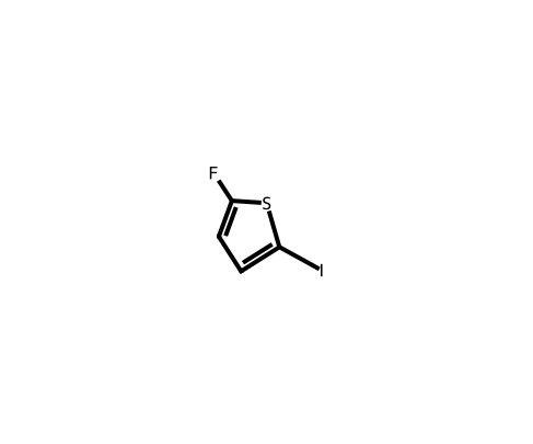 Fc1ccc(I)s1